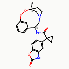 O=C(N[C@@H]1CN2CC[C@@H](C2)OOc2cccc1c2)C1(c2ccc3oc(=O)[nH]c3c2)CC1